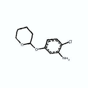 Nc1cc(OC2CCCCO2)ccc1Cl